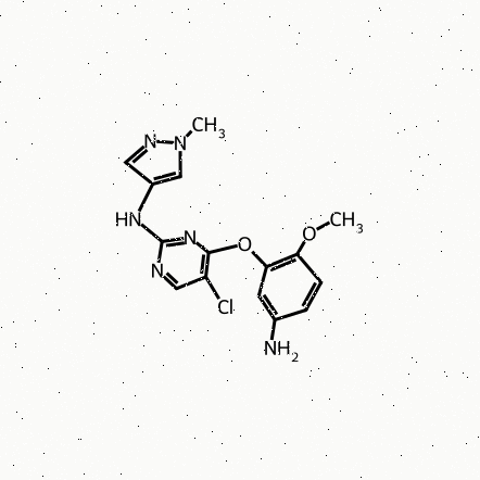 COc1ccc(N)cc1Oc1nc(Nc2cnn(C)c2)ncc1Cl